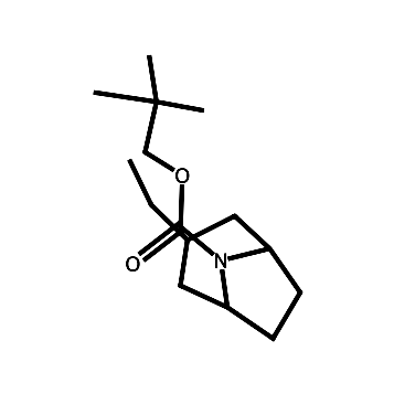 CCC1CC2CCC(C1)N2C(=O)OCC(C)(C)C